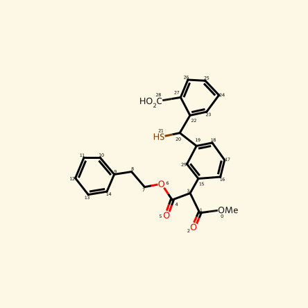 COC(=O)C(C(=O)OCCc1ccccc1)c1cccc(C(S)c2ccccc2C(=O)O)c1